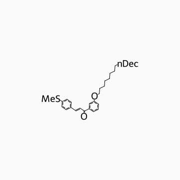 CCCCCCCCCCCCCCCCCCOc1cccc(C(=O)C=Cc2ccc(SC)cc2)c1